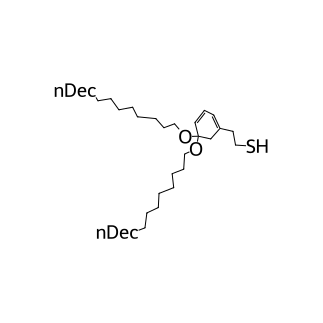 CCCCCCCCCCCCCCCCCCOC1(OCCCCCCCCCCCCCCCCCC)C=CC=C(CCS)C1